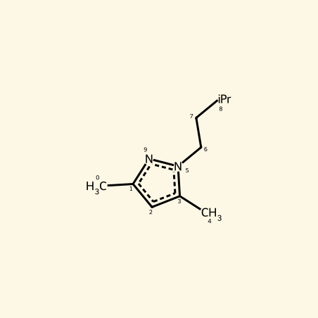 Cc1cc(C)n(CCC(C)C)n1